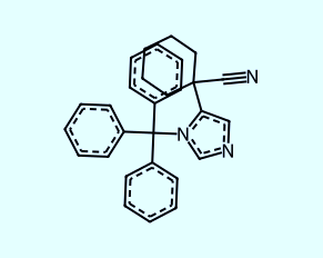 N#CC1(c2cncn2C(c2ccccc2)(c2ccccc2)c2ccccc2)CCCCC1